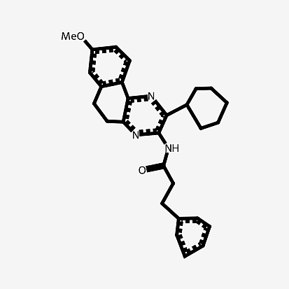 COc1ccc2c(c1)CCc1nc(NC(=O)CCc3ccccc3)c(C3CCCCC3)nc1-2